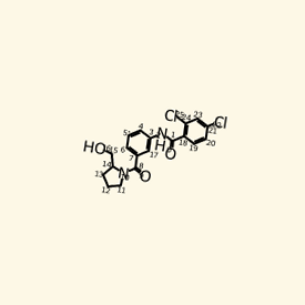 O=C(Nc1c[c]cc(C(=O)N2CCCC2CO)c1)c1ccc(Cl)cc1Cl